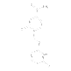 NC(=O)c1ccn(COc2cccc(=O)[nH]2)c(=O)c1